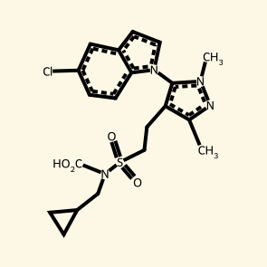 Cc1nn(C)c(-n2ccc3cc(Cl)ccc32)c1CCS(=O)(=O)N(CC1CC1)C(=O)O